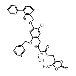 Cc1oc(=O)oc1COC(=O)[C@H](CO)NCc1cc(Cl)c(OCc2cccc(-c3ccccc3)c2Br)cc1OCc1cccnc1